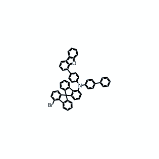 Brc1cccc2c1-c1ccccc1C21c2ccccc2-c2c(N(c3ccc(-c4ccccc4)cc3)c3ccc(-c4cccc5c4oc4ccccc45)cc3)cccc21